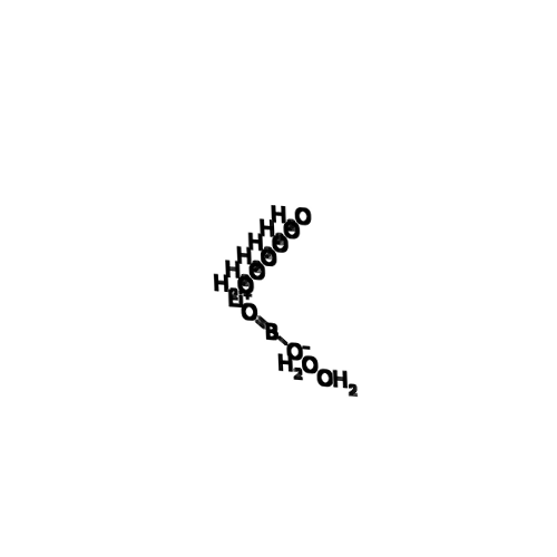 O.O.O.O.O.O.O.O.O=B[O-].[Li+]